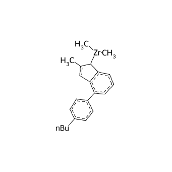 CCCCc1ccc(-c2cccc3c2C=C(C)[CH]3[Zr]([CH3])[CH3])cc1